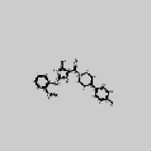 COc1ccccc1Nc1nc(C)c(C(=O)N2CCC(c3ccc(C)cc3)CC2)s1